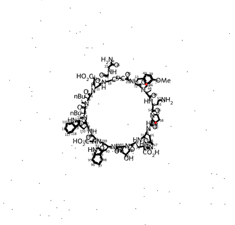 CCCC[C@H]1C(=O)N(C)[C@@H](CCCC)C(=O)N[C@@H](CCC(=O)O)C(=O)N[C@H](C(=O)NCC(N)=O)CSCC(=O)N[C@@H](Cc2ccc(OC)cc2)C(=O)N(C)[C@@H](C)C(=O)N[C@@H](CCN)C(=O)N2CCC[C@H]2C(=O)N[C@@H](Cc2cnc[nH]2)C(=O)N[C@@H](CCC(=O)O)C(=O)N2C[C@H](O)C[C@H]2C(=O)N[C@@H](Cc2c[nH]c3ccccc23)C(=O)N[C@@H](CC(=O)O)C(=O)N[C@@H](Cc2c[nH]c3ccccc23)C(=O)N1C